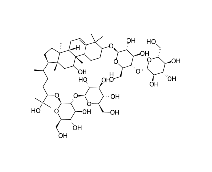 C[C@H](CCC(O[C@@H]1O[C@H](CO)[C@@H](O)[C@H](O)[C@H]1O[C@@H]1O[C@H](CO)[C@@H](O)[C@H](O)[C@H]1O)C(C)(C)O)[C@H]1CC[C@@]2(C)[C@@H]3CC=C4C(CCC(O[C@@H]5O[C@H](CO)[C@@H](O[C@@H]6O[C@H](CO)[C@@H](O)[C@H](O)[C@H]6O)[C@H](O)[C@H]5O)C4(C)C)[C@]3(C)C(O)C[C@]12C